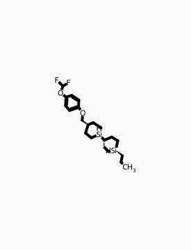 CCC[Si@H]1CC[C@H]([Si@H]2CC[C@H](COc3ccc(OC(F)F)cc3)CC2)CC1